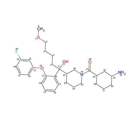 COCCCCC(O)(c1ccccc1Oc1cccc(F)c1)C1CCCN(C(=O)C2CCCC(N)C2)C1